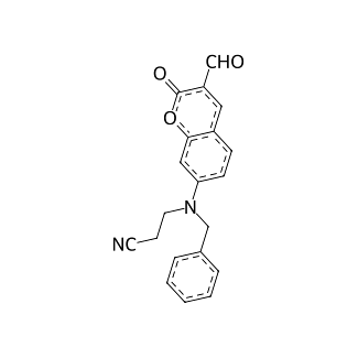 N#CCCN(Cc1ccccc1)c1ccc2cc(C=O)c(=O)oc2c1